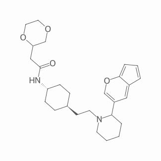 O=C(CC1COCCO1)N[C@H]1CC[C@H](CCN2CCCCC2c2coc3cccc-3c2)CC1